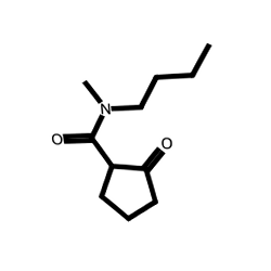 CCCCN(C)C(=O)C1CCCC1=O